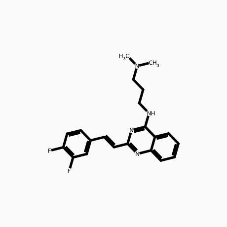 CN(C)CCCNc1nc(/C=C/c2ccc(F)c(F)c2)nc2ccccc12